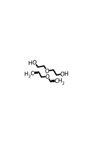 C=CCOC=C.OCCOCCO